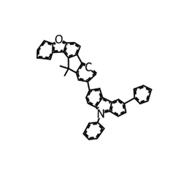 CC1(C)c2cc(-c3ccc4c(c3)c3cc(-c5ccccc5)ccc3n4-c3ccccc3)ccc2-c2ccc3oc4ccccc4c3c21